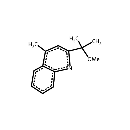 COC(C)(C)c1cc(C)c2ccccc2n1